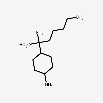 BCCCCC(N)(C(=O)O)C1CCC(N)CC1